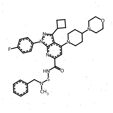 CN(Cc1ccccc1)SNC(=O)c1cc(N2CCC(N3CCOCC3)CC2)c2c(C3CCC3)nn(-c3ccc(F)cc3)c2n1